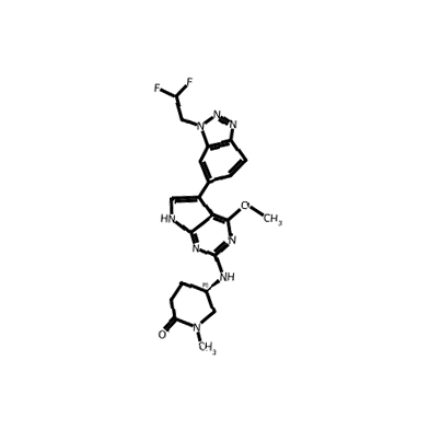 COc1nc(N[C@@H]2CCC(=O)N(C)C2)nc2[nH]cc(-c3ccc4nnn(CC(F)F)c4c3)c12